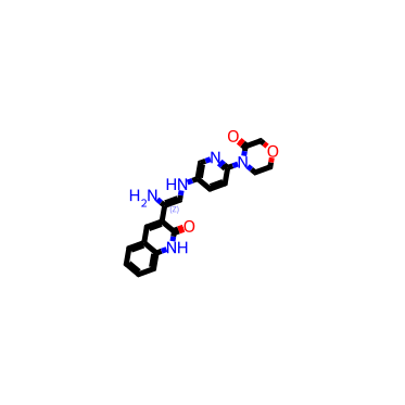 N/C(=C\Nc1ccc(N2CCOCC2=O)nc1)c1cc2ccccc2[nH]c1=O